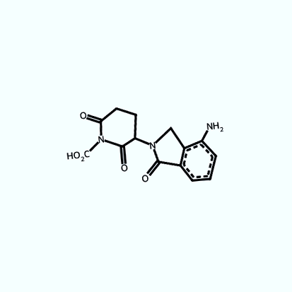 Nc1cccc2c1CN(C1CCC(=O)N(C(=O)O)C1=O)C2=O